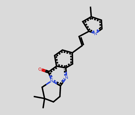 Cc1ccnc(/C=C/c2ccc3c(=O)n4c(nc3c2)CCC(C)(C)C4)c1